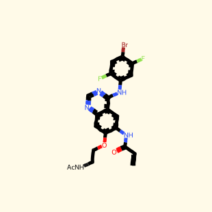 C=CC(=O)Nc1cc2c(Nc3cc(F)c(Br)cc3F)ncnc2cc1OCCNC(C)=O